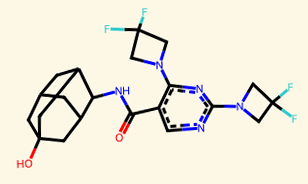 O=C(NC1C2CC3CC1CC(O)(C3)C2)c1cnc(N2CC(F)(F)C2)nc1N1CC(F)(F)C1